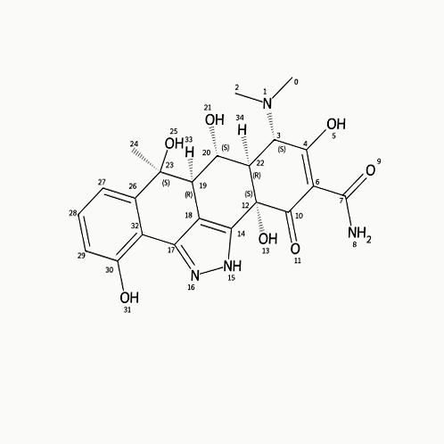 CN(C)[C@@H]1C(O)=C(C(N)=O)C(=O)[C@@]2(O)c3[nH]nc4c3[C@H]([C@H](O)[C@@H]12)[C@](C)(O)c1cccc(O)c1-4